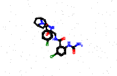 NC(=O)Nc1ccc(Cl)cc1C(=O)NCC(=O)NC1CC2CCC(C1)N2Cc1ccc(Cl)cc1